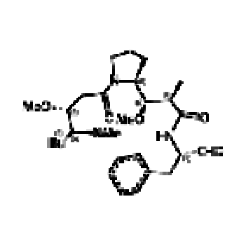 CC[C@H](C)[C@H](NC)[C@@H](CC(=O)N1CCC[C@H]1[C@H](OC)[C@@H](C)C(=O)N[C@H](C=O)Cc1ccccc1)OC